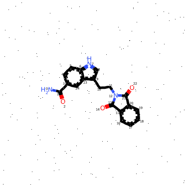 NC(=O)c1ccc2[nH]cc(CCN3C(=O)c4ccccc4C3=O)c2c1